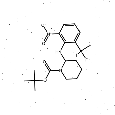 CC(C)(C)OC(=O)N1CCCCC1Nc1c([N+](=O)[O-])cccc1C(F)(F)F